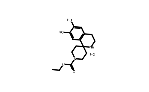 CCOC(=O)N1CCC2(CC1)NCCc1cc(O)c(O)cc12.Cl